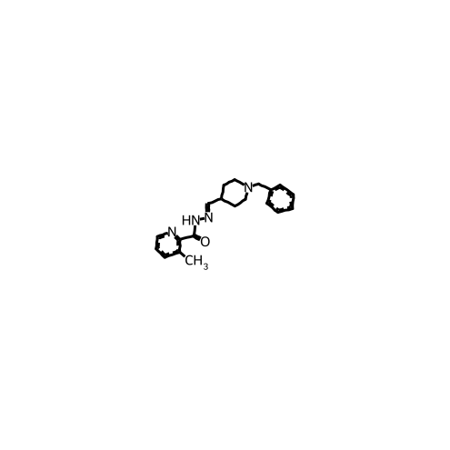 Cc1cccnc1C(=O)N/N=C/C1CCN(Cc2ccccc2)CC1